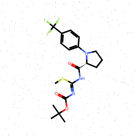 CSC(=NC(=O)OC(C)(C)C)NC(=O)[C@H]1CCCN1c1ccc(C(F)(F)F)cc1